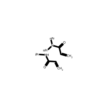 C=CC(=O)N(CCC)CCC.C=CC(=O)NC(C)C